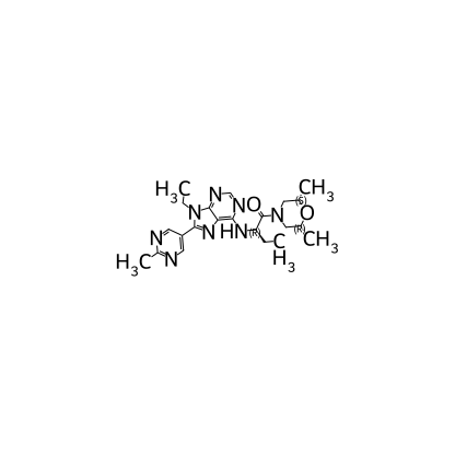 CC[C@@H](Nc1ncnc2c1nc(-c1cnc(C)nc1)n2CC)C(=O)N1C[C@@H](C)O[C@@H](C)C1